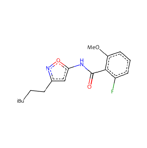 CCC(C)CCc1cc(NC(=O)c2c(F)cccc2OC)on1